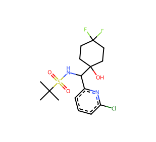 CC(C)(C)S(=O)(=O)NC(c1cccc(Cl)n1)C1(O)CCC(F)(F)CC1